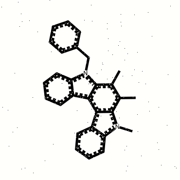 Cc1c(C)c2c(c3ccccc3n2Cc2ccccc2)c2c3ccccc3n(C)c12